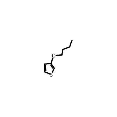 CCCCOc1ccsc1